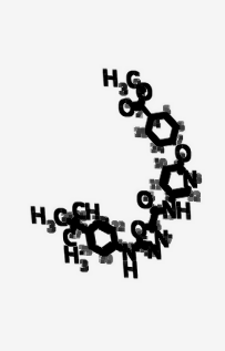 COC(=O)[C@H]1CC[C@H](Oc2ccc(NC(=O)c3nnc(Nc4ccc(C(C)(C)C)cc4)o3)cn2)CC1